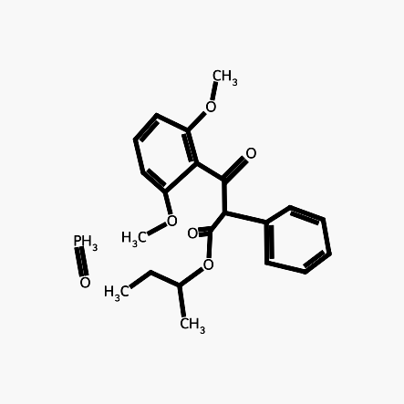 CCC(C)OC(=O)C(C(=O)c1c(OC)cccc1OC)c1ccccc1.O=[PH3]